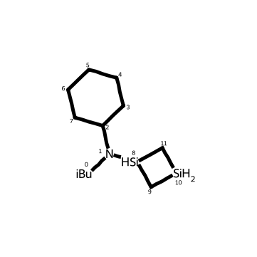 CCC(C)N(C1CCCCC1)[SiH]1C[SiH2]C1